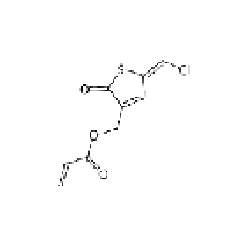 C=CC(=O)OCC1=CC(=CCl)SC1=O